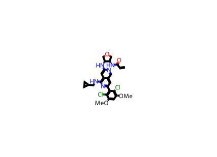 C=CC(=O)NC1COCC1Nc1cc2c(NCC3CC3)nc(-c3c(Cl)c(OC)cc(OC)c3Cl)cc2cn1